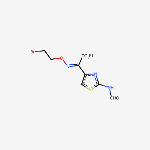 CCOC(=O)C(=NOCCBr)c1csc(NC=O)n1